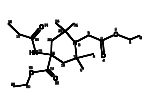 CCOC(=O)CN1C(C)(C)CC(NC(=O)CC)(C(=O)OCC)CC1(C)C